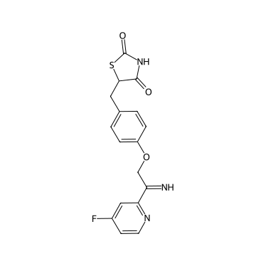 N=C(COc1ccc(CC2SC(=O)NC2=O)cc1)c1cc(F)ccn1